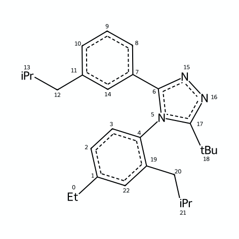 CCc1ccc(-n2c(-c3cccc(CC(C)C)c3)nnc2C(C)(C)C)c(CC(C)C)c1